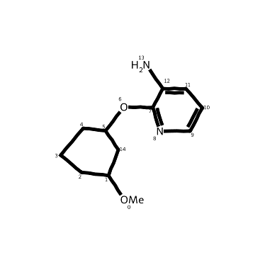 COC1CCCC(Oc2ncccc2N)C1